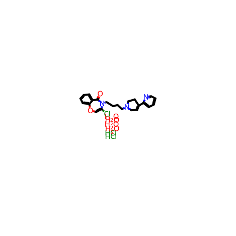 Cl.Cl.O.O.O.O.O=C1c2ccccc2OC=C(Cl)N1CCCCN1CC=C(c2ccccn2)CC1